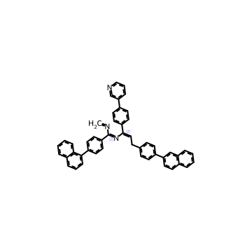 C=N/C(=N\C(=C/Cc1ccc(-c2ccc3ccccc3c2)cc1)c1ccc(-c2cccnc2)cc1)c1ccc(-c2cccc3ccccc23)cc1